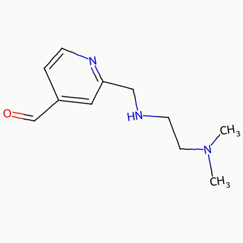 CN(C)CCNCc1cc(C=O)ccn1